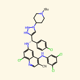 CC(C)(C)N1CCC(N2C=C([C@@H](Nc3cc(Cl)c4ncc(C#N)c(Nc5cc(Cl)cc(Cl)c5)c4c3)c3ccc(Cl)cc3)NN2)CC1